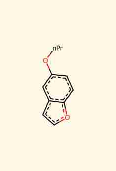 CCCOc1ccc2occc2c1